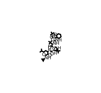 CC(C)CCC(NC(=O)[C@@H]1[C@@H]2[C@H](CN1C(=O)[C@@H](NC(=O)NC1(CS(=O)(=O)C(C)(C)C)CCCCC1)C(C)(C)C)C2(C)C)C(=O)C(=O)NC1CC1